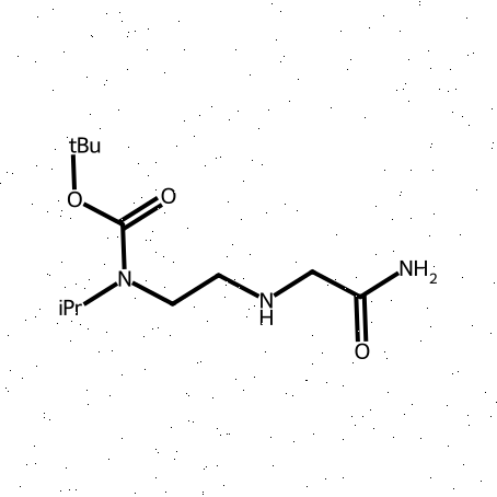 CC(C)N(CCNCC(N)=O)C(=O)OC(C)(C)C